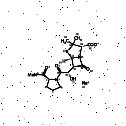 CNC(=O)[C@@H]1CCCN1C(=O)[C@@H](O)[C@@H]1C(=O)N2[C@@H]1SC(C)(C)[C@@H]2C(=O)[O-].[Na+]